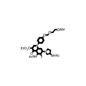 CCOC(=O)c1cn(-c2ccc(OCOCCOC)cc2)c2cc(N3CCC(NC(C)=O)C3)c(F)c(NC(C)=O)c2c1=O